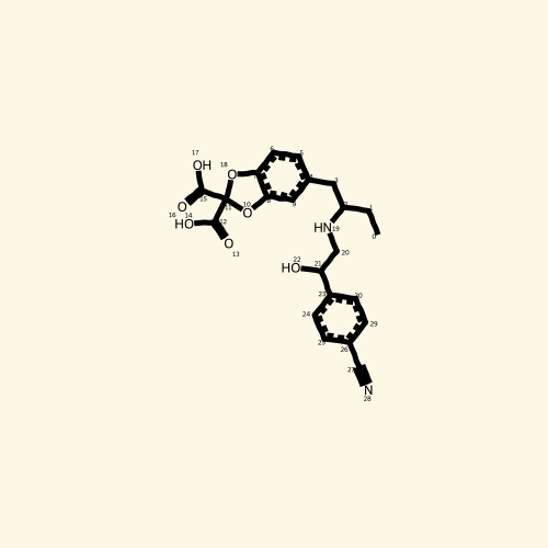 CCC(Cc1ccc2c(c1)OC(C(=O)O)(C(=O)O)O2)NCC(O)c1ccc(C#N)cc1